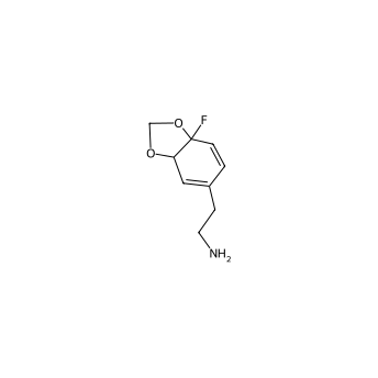 NCCC1=CC2OCOC2(F)C=C1